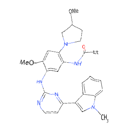 CCC(=O)Nc1cc(Nc2nccc(-c3cn(C)c4ccccc34)n2)c(OC)cc1N1CCC(OC)C1